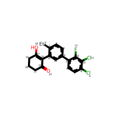 CCc1ccc(-c2ccc(Cl)c(Cl)c2F)cc1C1=C(O)CCCC1=O